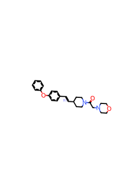 O=C(CN1CCOCC1)N1CCC(/C=C/c2ccc(Oc3ccccc3)cc2)CC1